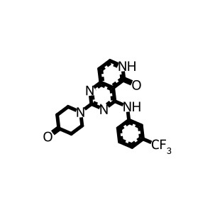 O=C1CCN(c2nc(Nc3cccc(C(F)(F)F)c3)c3c(=O)[nH]ccc3n2)CC1